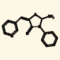 NC1SC(=Cc2cccnc2)C(=O)N1c1ccccc1